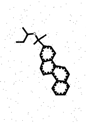 CCC(C)OC(C)(C)c1ccc2c(ccc3c4ccccc4ccc23)c1